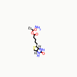 CCC(ON)OC(=O)CCCC[C@@H]1SC[C@@H]2NC(=O)N[C@@H]21